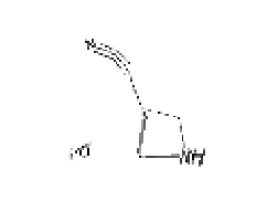 Cl.N#CC1CNC1